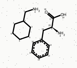 NCC1CCCCC1.N[C@@H](Cc1ccccc1)C(=O)O